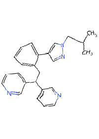 CC(C)Cn1cc(-c2ccccc2CC(c2cccnc2)c2cccnc2)cn1